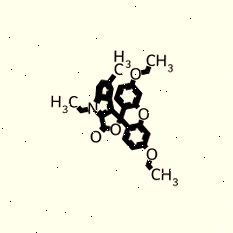 CCOc1ccc2c(c1)Oc1cc(OCC)ccc1C21OC(=O)c2c1c1cc(C)ccc1n2CC